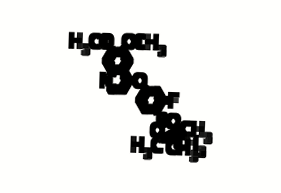 COc1cc2nccc(Oc3ccc(B4OC(C)(C)C(C)(C)O4)c(F)c3)c2cc1OC